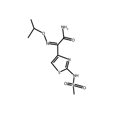 CC(C)ON=C(C(N)=O)c1csc(NS(C)(=O)=O)n1